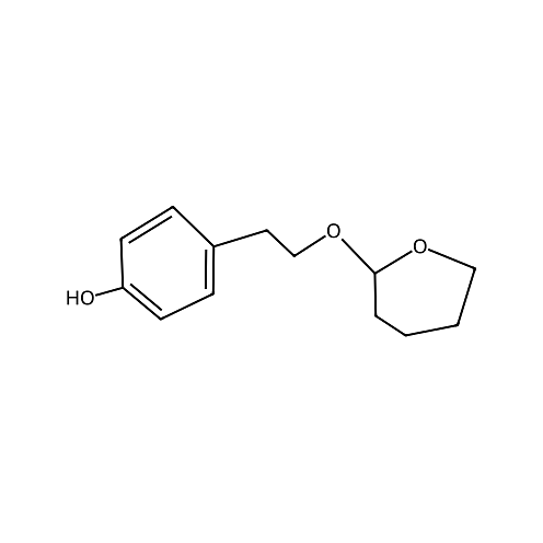 Oc1ccc(CCOC2CCCCO2)cc1